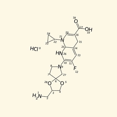 Cl.NCC1COC2(CCN(C3=C(F)C=C4CC(C(=O)O)=CN(C5CC5)C4N3)C2)O1